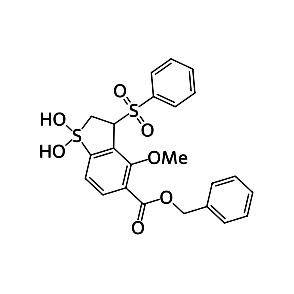 COc1c(C(=O)OCc2ccccc2)ccc2c1C(S(=O)(=O)c1ccccc1)CS2(O)O